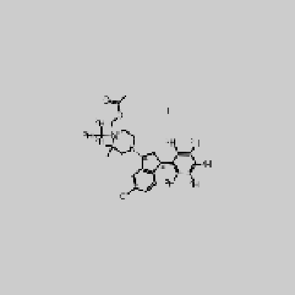 [2H]c1c([2H])c([2H])c([C@@H]2C[C@@H](N3CC[N@@+](COC(C)=O)(C([2H])([2H])[2H])C(C)(C)C3)c3cc(Cl)ccc32)c([2H])c1[2H].[I-]